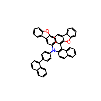 c1ccc2c(-c3ccc(N(c4ccc5oc6ccccc6c5c4)c4ccc5ccccc5c4-c4cccc5c4oc4ccccc45)cc3)cccc2c1